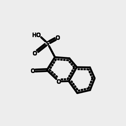 O=c1oc2ccccc2cc1S(=O)(=O)O